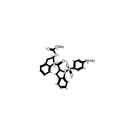 COC(=O)OC1Cc2ccccc2N1C(=O)C1Cc2ccccc2N1S(=O)(=O)c1ccc(NC(C)=O)cc1